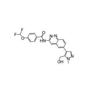 Cn1ncc(-c2ccc3nnc(NC(=O)c4ccc(OC(F)F)cc4)cc3c2)c1CO